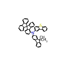 CC1(C)c2ccccc2-c2ccc(N(c3ccc4sc5ccccc5c4c3)c3cccc4c3-c3ccccc3C43c4ccccc4-c4ccccc43)cc21